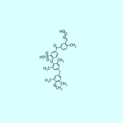 COc1c(C)cc(Cc2cc(C)c(Oc3ccc(C(=O)c4ccc(C)c(SOOO)c4)cc3S(=O)(=O)O)c(C)c2)cc1C